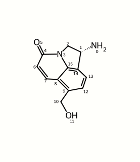 N[C@H]1Cn2c(=O)ccc3c(CO)ccc1c32